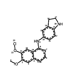 COc1cc2ncnc(Nc3ccc4c(c3)CCN4)c2cc1OCl